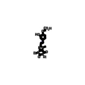 CCn1c(=O)c2c(nc(/C=C/c3ccc(OCC(=O)O)c(O)c3)n2C)n(CC)c1=O